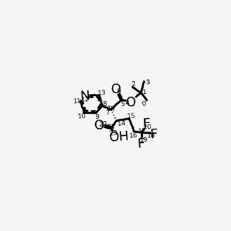 CC(C)(C)OC(=O)[C@@H](c1cccnc1)C(CCC(F)(F)F)C(=O)O